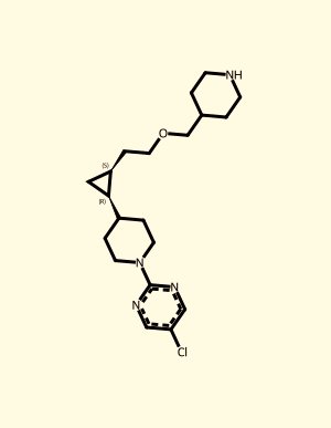 Clc1cnc(N2CCC([C@H]3C[C@H]3CCOCC3CCNCC3)CC2)nc1